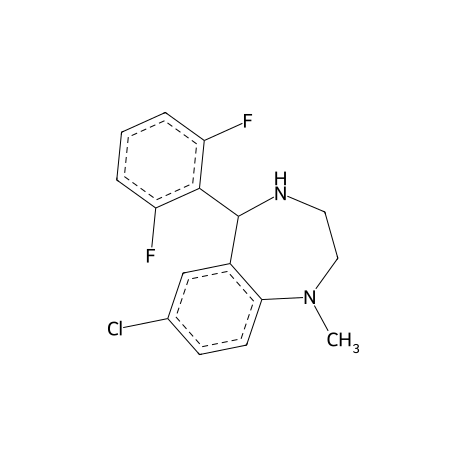 CN1CCNC(c2c(F)cccc2F)c2cc(Cl)ccc21